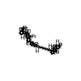 Cc1cc(Nc2ncc(Cl)c(Nc3ccccc3S(=O)(=O)C(C)C)n2)c(OC(C)C)cc1C1CCN(CC(=O)NCCCCCCCCNc2cccc3c2C(=O)N(C2CCC(=O)NC2=O)C3=O)CC1